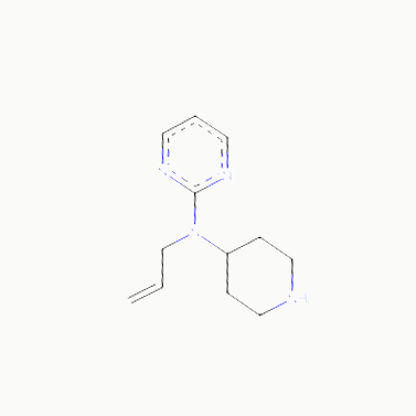 C=CCN(c1ncccn1)C1CCNCC1